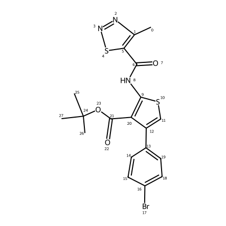 Cc1nnsc1C(=O)Nc1scc(-c2ccc(Br)cc2)c1C(=O)OC(C)(C)C